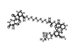 CC1(N)CCN(c2cnc(Sc3cccc(NC(=O)CC(=O)NCCCCCCCCCCNc4cccc5c4C(=O)N(C4CCC(=O)NC4=O)C5=O)c3Cl)c(N)n2)CC1